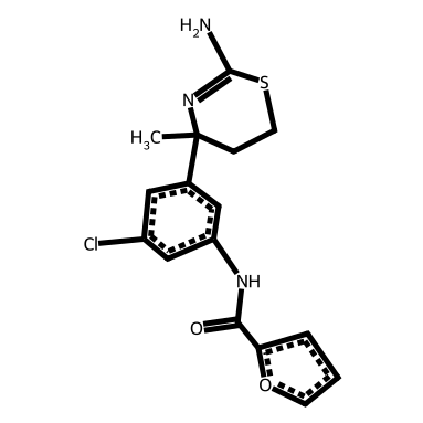 CC1(c2cc(Cl)cc(NC(=O)c3ccco3)c2)CCSC(N)=N1